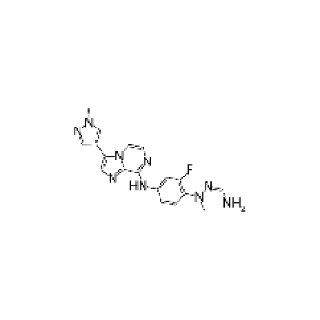 CN(/N=C\N)c1ccc(Nc2nccn3c(-c4cnn(C)c4)cnc23)cc1F